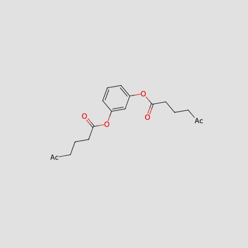 CC(=O)CCCC(=O)Oc1cccc(OC(=O)CCCC(C)=O)c1